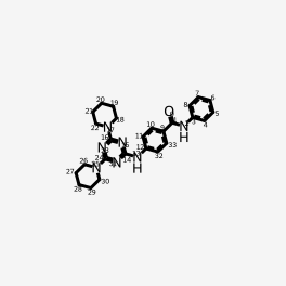 O=C(Nc1ccccc1)c1ccc(Nc2nc(N3CCCCC3)nc(N3CCCCC3)n2)cc1